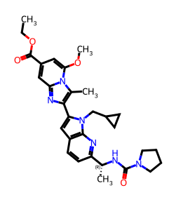 CCOC(=O)c1cc(OC)n2c(C)c(-c3cc4ccc([C@@H](C)NC(=O)N5CCCC5)nc4n3CC3CC3)nc2c1